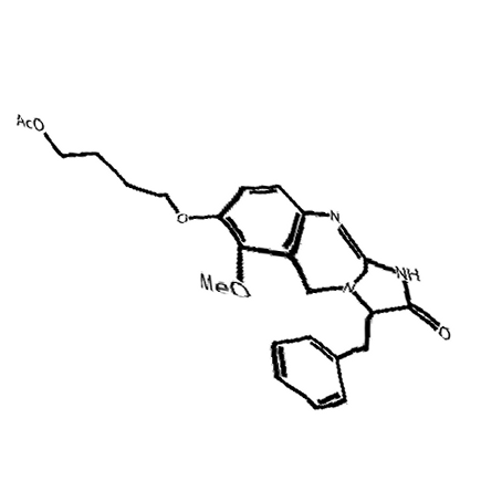 COc1c(OCCCCOC(C)=O)ccc2c1CN1C(=N2)NC(=O)C1Cc1ccccc1